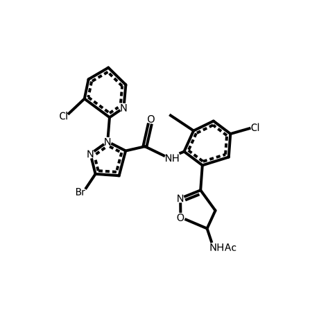 CC(=O)NC1CC(c2cc(Cl)cc(C)c2NC(=O)c2cc(Br)nn2-c2ncccc2Cl)=NO1